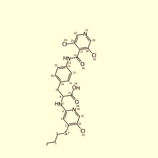 CCCSc1cc(NC(Cc2ccc(NC(=O)c3c(Cl)cncc3Cl)cc2)C(=O)O)ncc1Cl